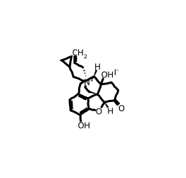 C=CC[N@@+]1(CC2CC2)CC[C@]23c4c5ccc(O)c4O[C@H]2C(=O)CCC3(O)[C@H]1C5.[I-]